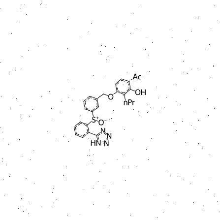 CCCc1c(OCc2cccc([S+]([O-])c3ccccc3-c3nnn[nH]3)c2)ccc(C(C)=O)c1O